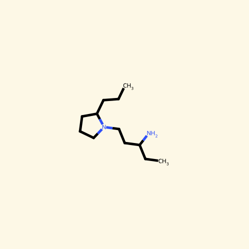 CCCC1CCCN1CCC(N)CC